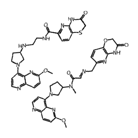 COc1ccc2nccc(N3CCC(N(C)C(=O)C=NCc4ccc5c(n4)NC(=O)CO5)C3)c2n1.COc1ccc2nccc(N3CCC(NCCNC(=O)c4ccc5c(n4)NC(=O)CS5)C3)c2n1